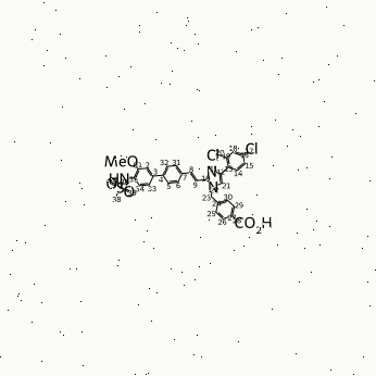 COc1cc(-c2ccc(C=Cc3nc(-c4ccc(Cl)cc4Cl)cn3Cc3ccc(C(=O)O)cc3)cc2)ccc1NS(C)(=O)=O